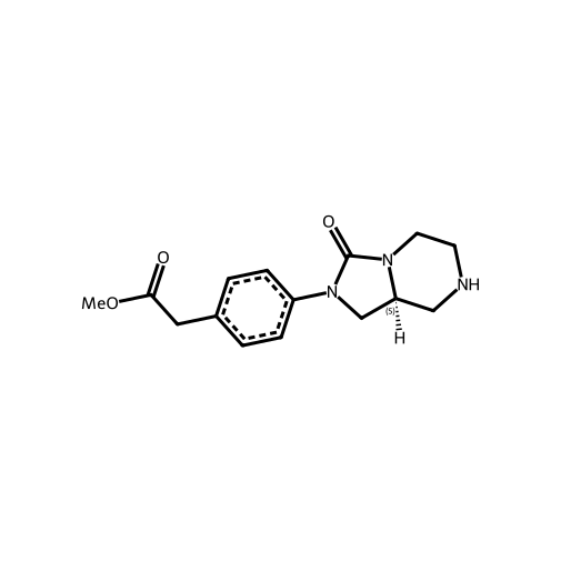 COC(=O)Cc1ccc(N2C[C@@H]3CNCCN3C2=O)cc1